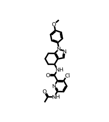 COc1ccc(-n2ncc3c2CCCC3NC(=O)c2nc(NC(C)=O)ccc2Cl)cc1